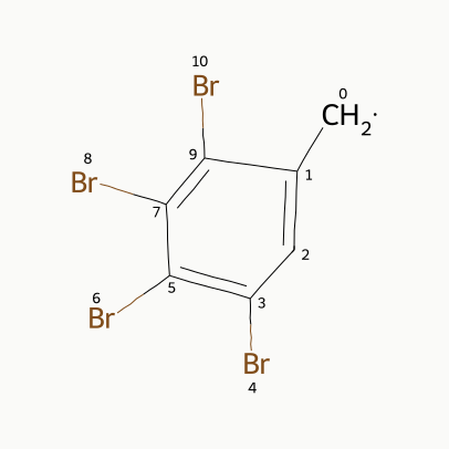 [CH2]c1cc(Br)c(Br)c(Br)c1Br